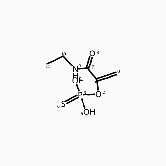 C=C(OP(O)(O)=S)C(=O)NCC